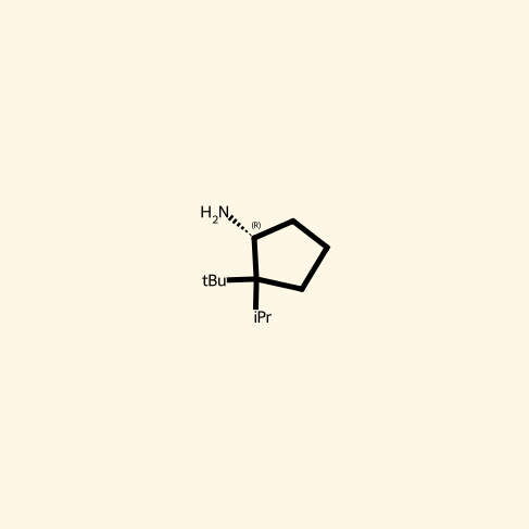 CC(C)C1(C(C)(C)C)CCC[C@H]1N